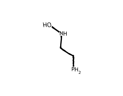 ONCCP